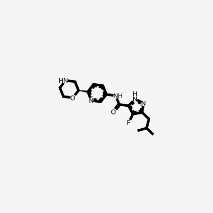 CC(C)Cc1n[nH]c(C(=O)Nc2ccc([C@@H]3CNCCO3)nc2)c1F